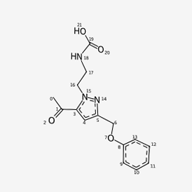 CC(=O)c1cc(COc2ccccc2)nn1CCNC(=O)O